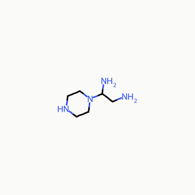 NCC(N)N1CCNCC1